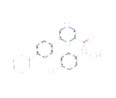 CN(C(=O)c1cncc(-c2ccc(C3CCCCC3)cc2)n1)c1ccc(Cl)cc1